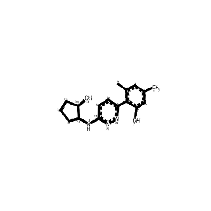 Cc1cc(C(F)(F)F)cc(O)c1-c1ccc(NC2CCCC2O)nn1